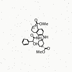 COC(=O)[C@@H]1CCC[C@@H](Nc2ccc3c(c2NC(=O)C(O)c2ccccc2)CC[C@H](C)N3C(=O)OC)C1